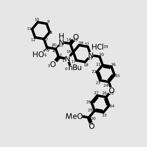 CCCCN1C(=O)[C@@H]([C@H](O)C2CCCCC2)NC(=O)C12CCN(Cc1ccc(Oc3ccc(C(=O)OC)cc3)cc1)CC2.Cl